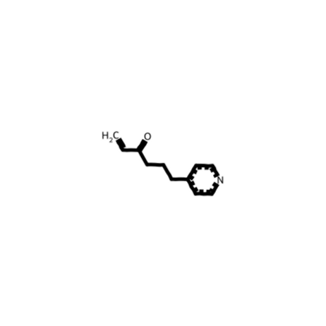 C=CC(=O)CCCc1ccncc1